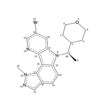 C[C@H](C1CCOCC1)n1c2cc(Br)cnc2c2c3c(ccc21)cnn3C